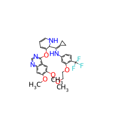 COCCOc1cc(NC(=C2CC2)C2NC=CC=C2Oc2ncnc3cc(OC)c(OC)cc23)ccc1C(F)(F)F